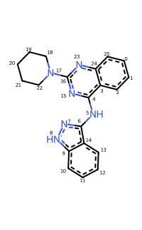 c1ccc2c(Nc3n[nH]c4ccccc34)nc(N3CCCCC3)nc2c1